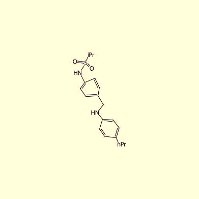 CCCc1ccc(NCc2ccc(NS(=O)(=O)C(C)C)cc2)cc1